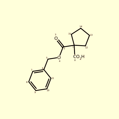 O=C(O)C1(C(=O)OCc2ccccc2)CCCC1